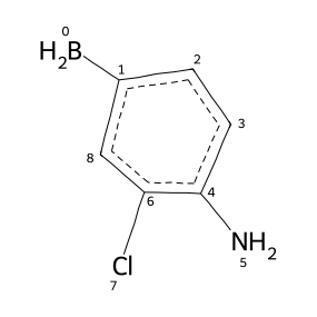 Bc1ccc(N)c(Cl)c1